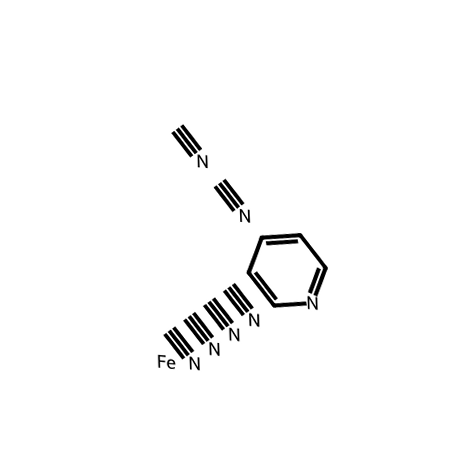 C#N.C#N.C#N.C#N.C#N.C#N.[Fe].c1ccncc1